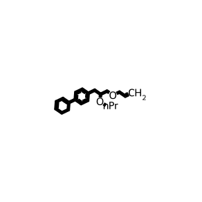 C=CCOCC(Cc1ccc(C2=CC=CCC2)cc1)OCCC